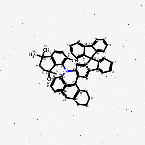 Cc1ccc2c(c1N(c1ccccc1)c1cc3c(cc1-c1cccc4c1CCCC4)-c1ccccc1C31c3ccccc3-c3ccccc31)C(C)(C)CCC2(C)C